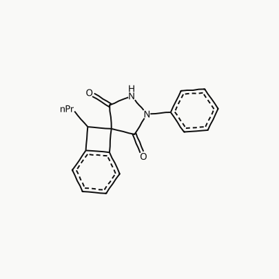 CCCC1c2ccccc2C12C(=O)NN(c1ccccc1)C2=O